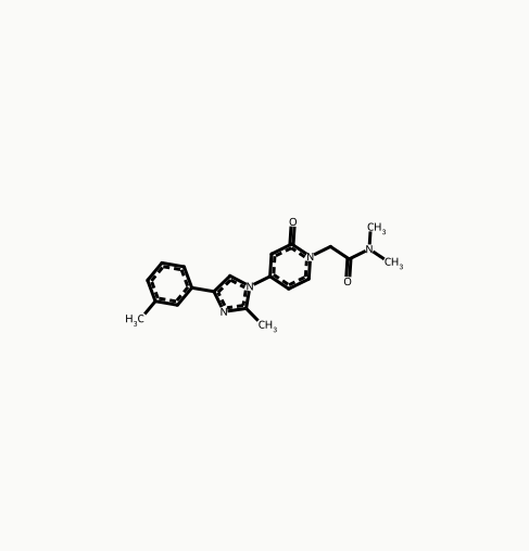 Cc1cccc(-c2cn(-c3ccn(CC(=O)N(C)C)c(=O)c3)c(C)n2)c1